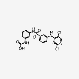 O=C(O)Nc1cccc(NS(=O)(=O)c2cccc(Nc3nc(Cl)ncc3Cl)c2)c1